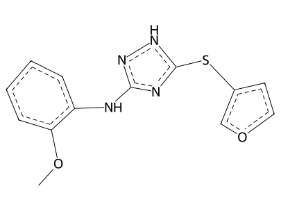 COc1ccccc1Nc1n[nH]c(Sc2ccoc2)n1